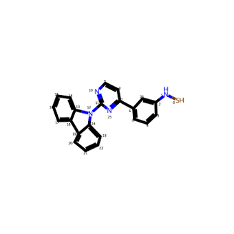 SNc1cccc(-c2ccnc(-n3c4ccccc4c4ccccc43)n2)c1